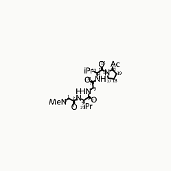 CNCC(=O)NC(C(=O)NCC(=O)NC(C(=O)N1CCCC1C(C)=O)C(C)C)C(C)C